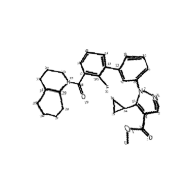 COC(=O)c1cnn(-c2cccc(-c3cccc(C(=O)N4CCCC5CCCCC54)c3F)c2)c1C1CC1